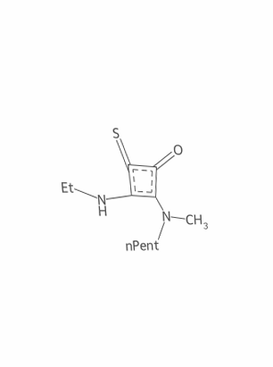 CCCCCN(C)c1c(NCC)c(=S)c1=O